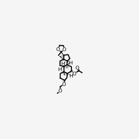 COCO[C@H]1CC[C@@]2(C)[C@H](C1)[C@@H](OC(C)=O)C[C@@H]1[C@@H]2CC[C@]2(C)[C@@H](C3(C)OCCO3)CC[C@@H]12